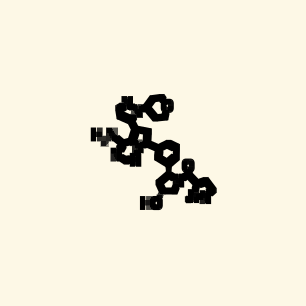 Cn1nccc1C(=O)N1C[C@H](O)C[C@H]1c1cccc(-c2cc(-c3ccnn3C3CCOCC3)c3c(N)ncnn23)c1